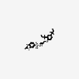 CCC(C)(C)c1ccc(OCCCNS(=O)(=O)c2ccc3nc(C)sc3c2)c(C(C)(C)CC)c1